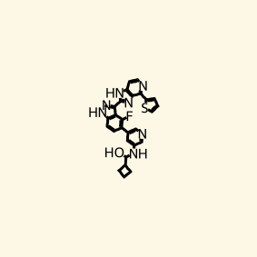 OC(Nc1cncc(-c2ccc3[nH]nc(-c4nc5c(-c6cccs6)nccc5[nH]4)c3c2F)c1)C1CCC1